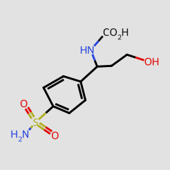 NS(=O)(=O)c1ccc(C(CCO)NC(=O)O)cc1